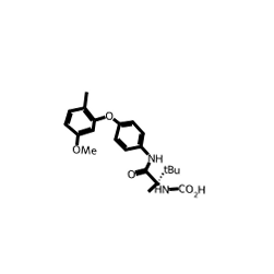 COc1ccc(C)c(Oc2ccc(NC(=O)[C@](C)(NC(=O)O)C(C)(C)C)cc2)c1